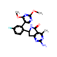 COc1ncc(-c2cc(F)ccc2C2Cc3nc(N)nc(C)c3C(=O)N2)c(OC)n1